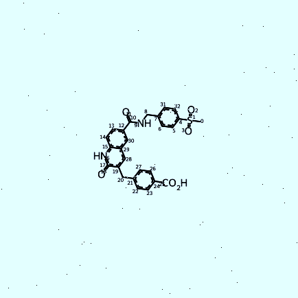 CS(=O)(=O)c1ccc(CNC(=O)c2ccc3[nH]c(=O)c(Cc4ccc(C(=O)O)cc4)cc3c2)cc1